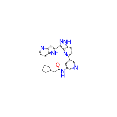 O=C(CC1CCCC1)Nc1cncc(-c2ccc3[nH]nc(-c4cc5ncccc5[nH]4)c3n2)c1